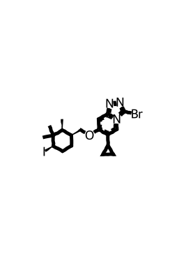 C[C@H]1[C@@H](COc2cc3nnc(Br)n3cc2C2CC2)CC[C@@H](I)C1(C)C